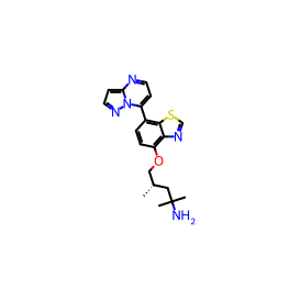 C[C@H](COc1ccc(-c2ccnc3ccnn23)c2scnc12)CC(C)(C)N